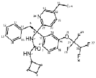 O=C(NC1CCC1)N[C@@](Cc1ccccc1)(c1cccc(OC(F)(F)C(F)F)c1)c1ccc(CI)cn1